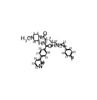 CN1CCN(C(=O)[C@H](CCCN[C@@H]2C[C@H]2c2ccc(F)cc2)NC(=O)c2ccc(-c3cccnn3)cc2)CC1